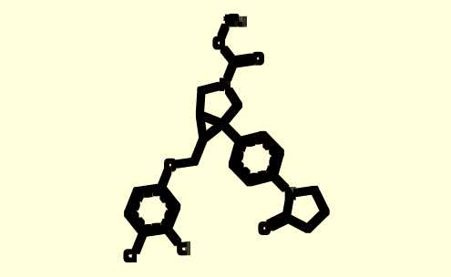 CC(C)(C)OC(=O)N1CC2C(COc3ccc(Cl)c(Cl)c3)C2(c2ccc(N3CCCC3=O)cc2)C1